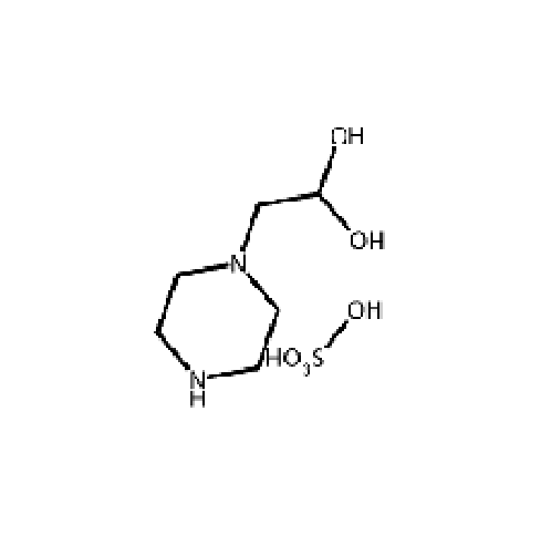 O=S(=O)(O)O.OC(O)CN1CCNCC1